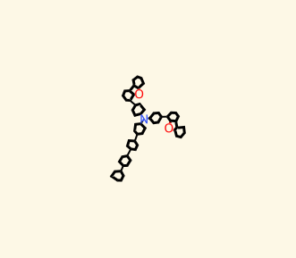 c1ccc(-c2ccc(-c3ccc(-c4ccc(N(c5ccc(-c6cccc7c6oc6ccccc67)cc5)c5ccc(-c6cccc7c6oc6ccccc67)cc5)cc4)cc3)cc2)cc1